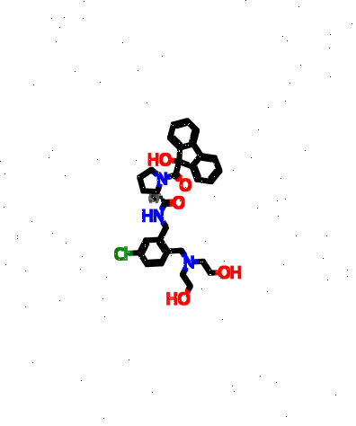 O=C(NCc1cc(Cl)ccc1CN(CCO)CCO)[C@@H]1CCCN1C(=O)C1(O)c2ccccc2-c2ccccc21